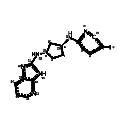 Ic1ccc(N[C@H]2CC[C@H](Nc3nc4cccnc4[nH]3)C2)nc1